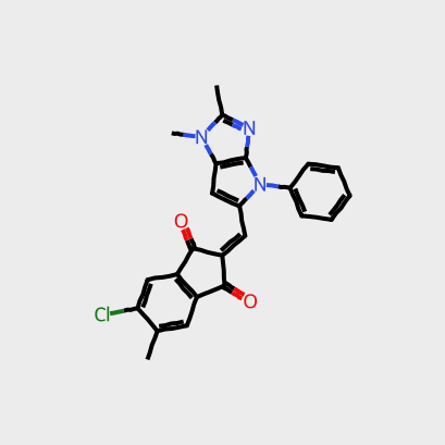 Cc1cc2c(cc1Cl)C(=O)/C(=C\c1cc3c(nc(C)n3C)n1-c1ccccc1)C2=O